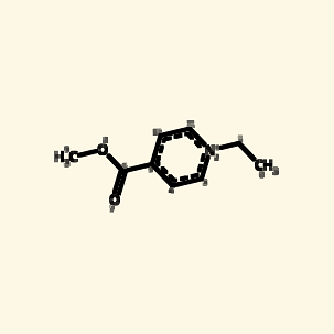 CC[n+]1ccc(C(=O)OC)cc1